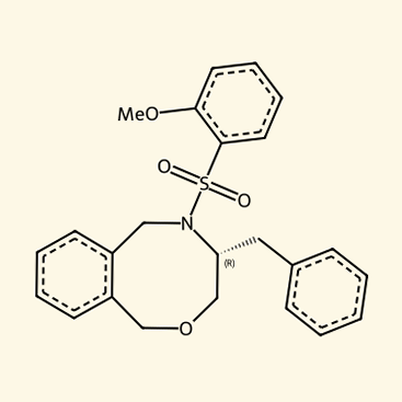 COc1ccccc1S(=O)(=O)N1Cc2ccccc2COC[C@H]1Cc1ccccc1